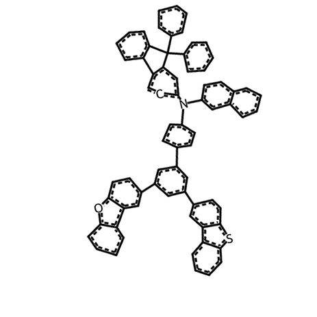 c1ccc(C2(c3ccccc3)c3ccccc3-c3ccc(N(c4ccc(-c5cc(-c6ccc7oc8ccccc8c7c6)cc(-c6ccc7sc8ccccc8c7c6)c5)cc4)c4ccc5ccccc5c4)cc32)cc1